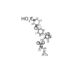 Cc1noc(-c2ccc(O[C@H]3CCC[C@H](C(=O)O)C3)cc2)c1COC(=O)N(C)CC1CC1